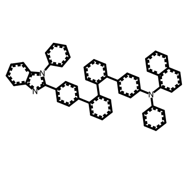 c1ccc(N(c2ccc(-c3ccccc3-c3ccccc3-c3ccc(-c4nc5ccccc5n4-c4ccccc4)cc3)cc2)c2cccc3ccccc23)cc1